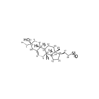 CC[C@]1(O)CC[C@H]2C(=CC[C@@H]3[C@@H]2CC[C@]2(C)[C@@H](CC[S+]=O)CC[C@@H]32)C1